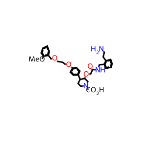 COc1ccccc1COCCCOc1ccc(C2CCN(C(=O)O)CC2OCC(=O)NCc2ccccc2CCN)cc1